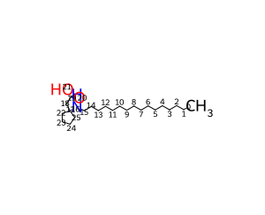 CCCCCCCCCCCCCCCCNC1(CC(=O)O)CCCC1